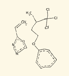 C=Cc1nnco1.CC(CCOc1ccccc1)C(Cl)(Cl)Cl